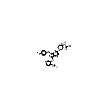 COc1ccc(Cn2nc(Oc3cnccc3N)c3ncc(N4CCC(C)(NC(=O)O)CC4)nc32)cc1